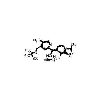 Cc1cnc(C(O)c2ccn3c(C(F)(F)F)nnc3c2C)cc1CO[Si](C)(C)C(C)(C)C.[Li][CH2]CCC